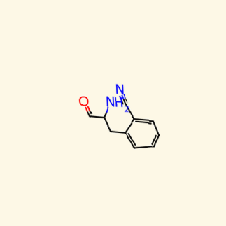 N#Cc1ccccc1CC(N)C=O